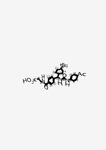 CC(=O)c1ccc(NC(=O)NC(c2ccc(C(=O)NCCC(=O)O)cc2)C2CCC(C(C)(C)C)CC2)cc1